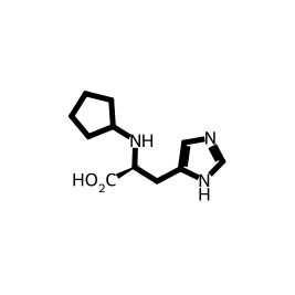 O=C(O)[C@H](Cc1cnc[nH]1)NC1CCCC1